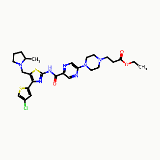 CCOC(=O)CCN1CCN(c2cnc(C(=O)Nc3nc(-c4cc(Cl)cs4)c(CN4CCCC4C)s3)cn2)CC1